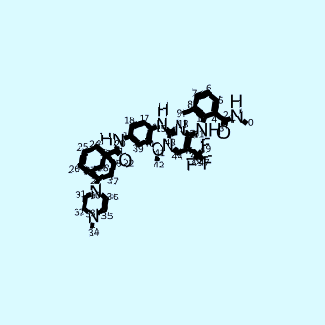 CNC(=O)c1cccc(C)c1Nc1nc(Nc2ccc(NC(=O)C34CC=CC(C3)C(N3CCN(C)CC3)CC4)cc2OC)ncc1C(F)(F)F